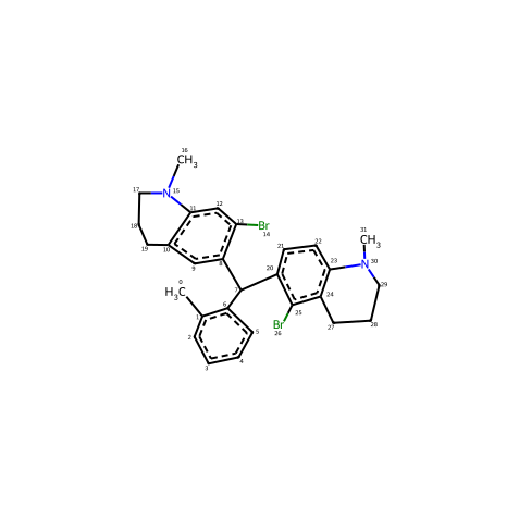 Cc1ccccc1C(c1cc2c(cc1Br)N(C)CCC2)c1ccc2c(c1Br)CCCN2C